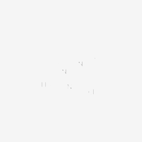 Cc1nc2c(Cl)cc(Cl)nc2n1C1CCCCO1